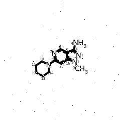 Cn1nc(N)c2cnc(N3CCCCC3)cc21